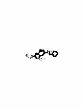 O=S(=O)(O)c1cc(O)c2cc(NCc3ccccc3)ccc2c1